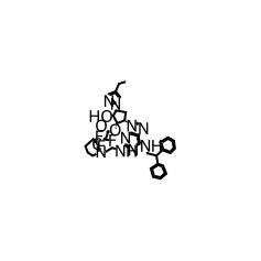 CCc1cnn([C@H]2C[C@@H](n3cnc4c(NCC(c5ccccc5)c5ccccc5)nc(NCCN5CCCCC5)nc43)[C@H](OC(=O)C(F)(F)F)[C@@H]2O)c1